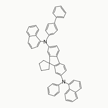 c1ccc(-c2ccc(N(c3ccc4c(c3)C3(CCCC3)c3cc(N(c5ccccc5)c5cccc6ccccc56)ccc3-4)c3cccc4ccccc34)cc2)cc1